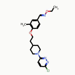 CCON=Cc1ccc(OCCC2CCN(c3ccc(Cl)nn3)CC2)c(C)c1